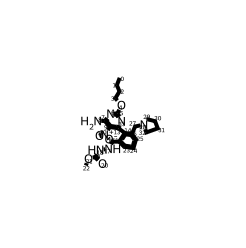 CCCCOc1nc(N)c([N+](=O)[O-])c(-c2c(CNNC(=O)OC)cccc2CN2CCCC2)n1